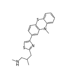 CNCC(C)Cc1nc(-c2ccc3c(c2)N(C)c2ccccc2S3)cs1